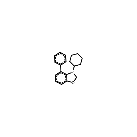 c1ccc(-c2cccc3c2[P@@](C2CCCCC2)CO3)cc1